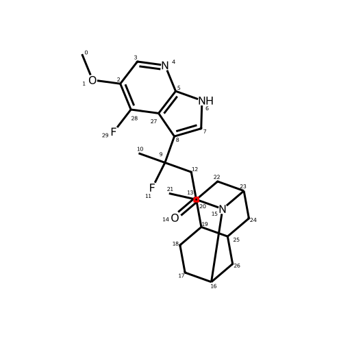 COc1cnc2[nH]cc(C(C)(F)CC(=O)N3C4CCC5C(C)CC3CC5C4)c2c1F